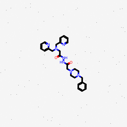 O=C(CN1CCN(Cc2ccccc2)CC1)NNC(=O)CN(Cc1ccccn1)Cc1ccccn1